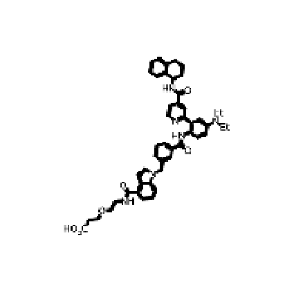 CCN(CC)c1ccc(NC(=O)c2cccc(Cn3ccc4c(C(=O)NCCOCCC(=O)O)cccc43)c2)c(-c2cc(C(=O)NC3CCCc4ccccc43)ccn2)c1